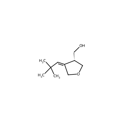 CC(C)(C)/C=C1\COC[C@H]1CO